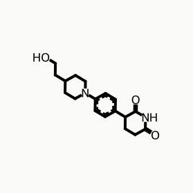 O=C1CCC(c2ccc(N3CCC(CCO)CC3)cc2)C(=O)N1